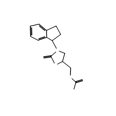 CCCC(=O)NCC1CN(C2CCc3ccccc32)C(=O)O1